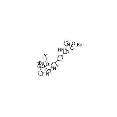 CC(C)(C)OC(=O)N1CCC[C@H]1c1ncc(-c2ccc(-c3ccc(-c4cnc([C@@H]5CCCN5C(=O)OC(C)(C)C)n4COCCS(C)(C)C)nn3)cc2)[nH]1